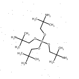 CC(C)(N)CO[Si](OCC(C)(C)N)(OCC(C)(C)N)OCC(C)(C)N